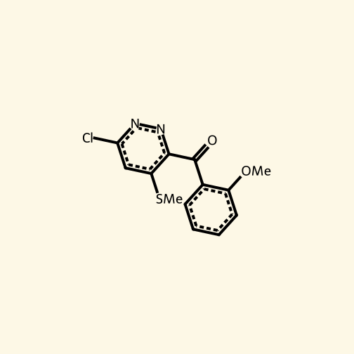 COc1ccccc1C(=O)c1nnc(Cl)cc1SC